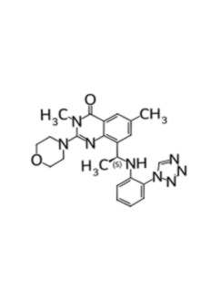 Cc1cc([C@H](C)Nc2ccccc2-n2cnnn2)c2nc(N3CCOCC3)n(C)c(=O)c2c1